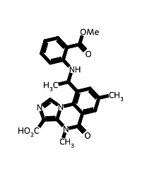 COC(=O)c1ccccc1NC(C)c1cc(C)cc2c(=O)n(C)c3c(C(=O)O)ncn3c12